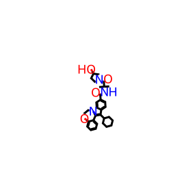 CC(C)(NC(=O)c1ccc2c(C3CCCCC3)c3n(c2c1)CCOc1ccccc1-3)C(=O)N1CCC(O)C1